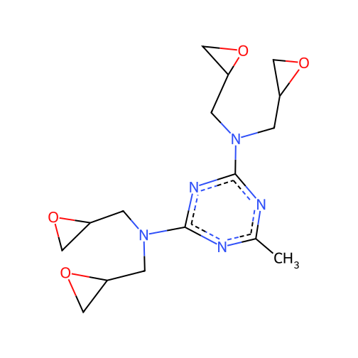 Cc1nc(N(CC2CO2)CC2CO2)nc(N(CC2CO2)CC2CO2)n1